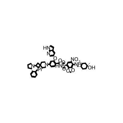 CC(C)c1ccccc1[C@@H]1CCCN1C1CC2(CCN(c3ccc(C(=O)NS(=O)(=O)c4cc([N+](=O)[O-])c(NC[C@H]5CC[C@](C)(O)CC5)c5c4OCO5)c(Oc4cnc5[nH]ccc5c4)c3)CC2)C1